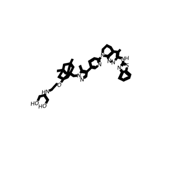 Cc1c(Nc2nc3ccccc3s2)nnc2c1CCCN2c1ccc(-c2cnn(CC34CC5(C)CC(C)(C3)CC(OCCNC(CO)CO)(C5)C4)c2C)cn1